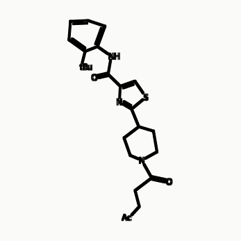 CC(=O)CCC(=O)N1CCC(c2nc(C(=O)Nc3ccccc3C(C)(C)C)cs2)CC1